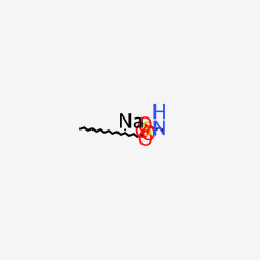 CCCCCCCCCCCCCCCC(=O)OS(=O)(=O)CCNC.[Na]